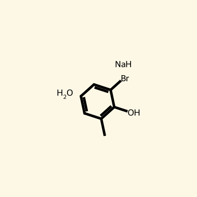 Cc1cccc(Br)c1O.O.[NaH]